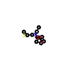 C1=C(c2ccccc2)CCC(N(c2ccc(-c3ccc4sc5ccccc5c4c3)cc2)c2cccc(-c3cccc4c3C3(c5ccccc5-c5ccccc5-c5ccccc53)c3ccccc3-4)c2)=C1